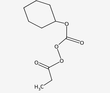 CCC(=O)OOC(=O)OC1CCCCC1